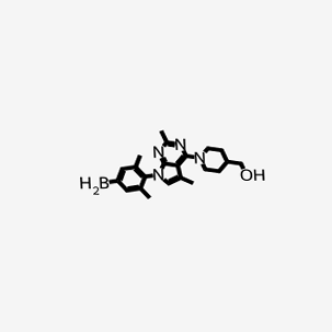 Bc1cc(C)c(-n2cc(C)c3c(N4CCC(CO)CC4)nc(C)nc32)c(C)c1